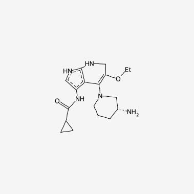 CCOC1=C(N2CCC[C@@H](N)C2)c2c(NC(=O)C3CC3)c[nH]c2NC1